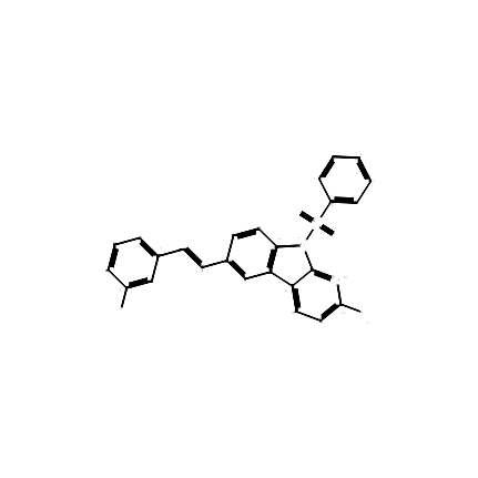 O=S(=O)(c1ccccc1)n1c2ccc(C=Cc3cccc(F)c3)cc2c2ccc(Cl)nc21